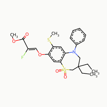 CCC1(CC)CN(c2ccccc2)c2cc(SC)c(O/C=C(\F)C(=O)OC)cc2S(=O)(=O)C1